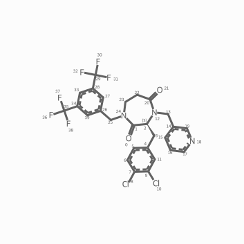 O=C1[C@H](Cc2ccc(Cl)c(Cl)c2)N(Cc2cccnc2)C(=O)CCN1Cc1cc(C(F)(F)F)cc(C(F)(F)F)c1